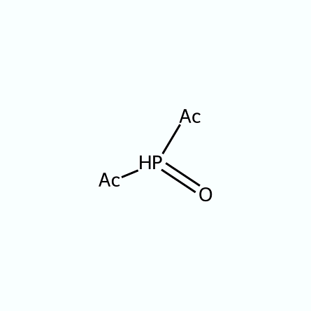 CC(=O)[PH](=O)C(C)=O